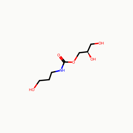 O=C(NCCCO)OC[C@H](O)CO